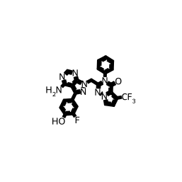 Nc1ncnc2c1c(-c1ccc(O)c(F)c1)nn2Cc1nn2ccc(C(F)(F)F)c2c(=O)n1-c1ccccc1